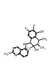 Cc1ncc2c(NC3c4cc(F)c(F)c(O)c4C(C)C(C)C3(O)C(F)(F)F)cccc2n1